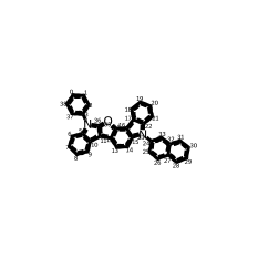 c1ccc(-n2c3ccccc3c3c4ccc5c(c6ccccc6n5-c5ccc6ccccc6c5)c4oc32)cc1